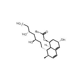 CC[C@H](C)C(=O)O[C@H]1C[C@H](O)C=C2C=C[C@@H](C)[C@H](CC[C@@H](O)C[C@H](O)CC(=O)O)[C@H]21